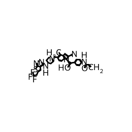 C=CC(=O)Nc1ccc(C2C(O)C2n2c(C#N)cc3c(C)c(CN4CCC(Nc5ncnc6sc(CC(F)(F)F)cc56)CC4)ccc32)cc1